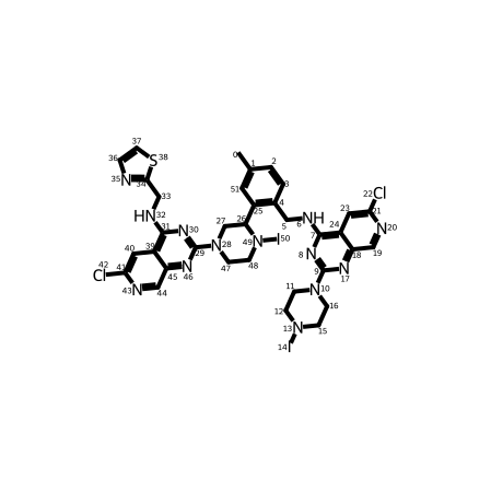 Cc1ccc(CNc2nc(N3CCN(I)CC3)nc3cnc(Cl)cc23)c(C2CN(c3nc(NCc4nccs4)c4cc(Cl)ncc4n3)CCN2I)c1